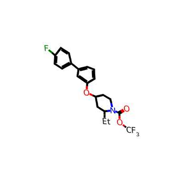 CCC1CC(Oc2cccc(-c3ccc(F)cc3)c2)CCN1C(=O)OC(F)(F)F